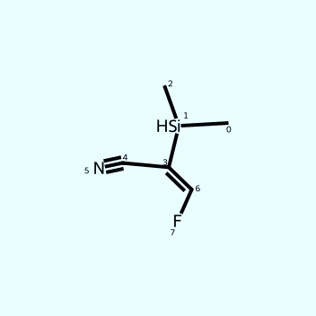 C[SiH](C)C(C#N)=CF